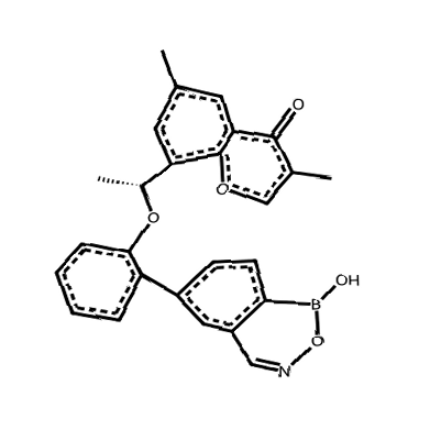 Cc1cc([C@@H](C)Oc2ccccc2-c2ccc3c(c2)C=NOB3O)c2occ(C)c(=O)c2c1